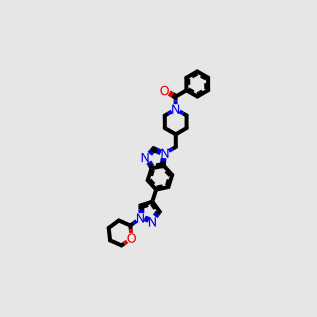 O=C(c1ccccc1)N1CCC(Cn2cnc3cc(-c4cnn(C5CCCCO5)c4)ccc32)CC1